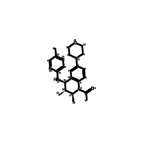 CC(=O)N1c2ccc(N3CCOCC3)cc2[C@H](Nc2cnc(C)cn2)[C@@H](C)[C@@H]1C